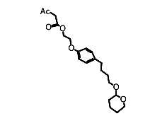 CC(=O)CC(=O)OCCOc1ccc(CCCCOC2CCCCO2)cc1